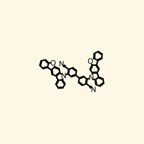 N#Cc1ccc(-c2ccc(C#N)c(-n3c4ccccc4c4cc5c(cc43)oc3ccccc35)c2)cc1-n1c2ccccc2c2cc3c(cc21)oc1ccccc13